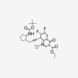 CCOC(=O)c1cn(C2CC2)c2c(C#CCC3CCC[C@H]3NC(=O)OC(C)(C)C)c(F)c(F)cc2c1=O